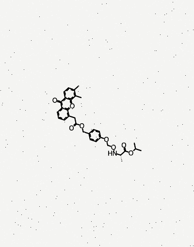 Cc1ccc2c(=O)c3cccc(CC(=O)OCc4ccc(OCON[C@@H](C)C(=O)OC(C)C)cc4)c3oc2c1C